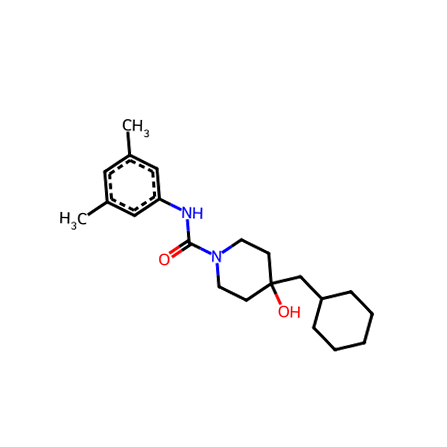 Cc1cc(C)cc(NC(=O)N2CCC(O)(CC3CCCCC3)CC2)c1